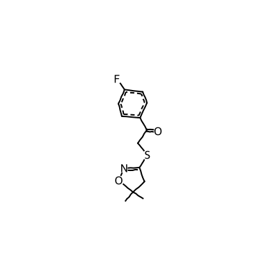 CC1(C)CC(SCC(=O)c2ccc(F)cc2)=NO1